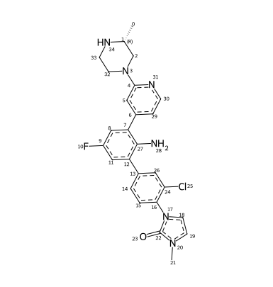 C[C@@H]1CN(c2cc(-c3cc(F)cc(-c4ccc(-n5ccn(C)c5=O)c(Cl)c4)c3N)ccn2)CCN1